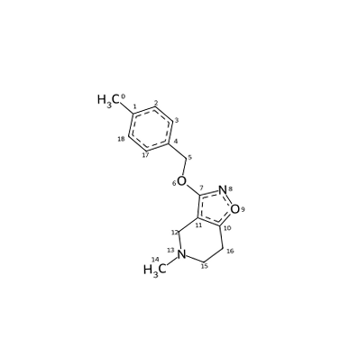 Cc1ccc(COc2noc3c2CN(C)CC3)cc1